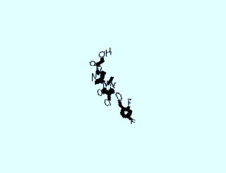 Cc1nc(OCc2ccc(F)cc2F)c(Cl)c(=O)n1-c1cnn(C(=O)CO)c1